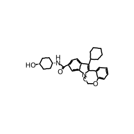 O=C(N[C@H]1CC[C@H](O)CC1)c1ccc2c(C3CCCCC3)c3n(c2c1)CCOc1ccccc1-3